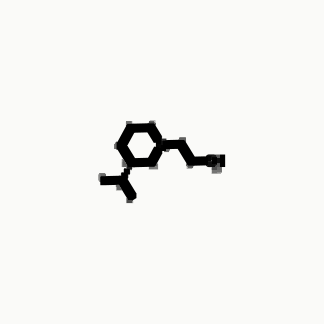 CC(C)[C@@H]1CCCN(CCO)C1